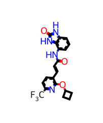 O=C(/C=C/c1ccc(C(F)(F)F)nc1OC1CCC1)Nc1cccc2[nH]c(=O)[nH]c12